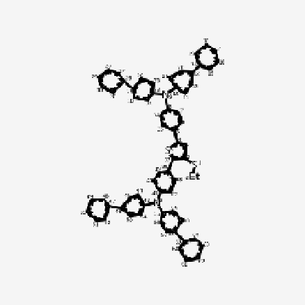 CCSc1cc(-c2ccc(N(c3ccc(-c4ccccc4)cc3)c3ccc(-c4ccccc4)cc3)cc2)sc1-c1ccc(N(c2ccc(-c3ccccc3)cc2)c2ccc(-c3ccccc3)cc2)cc1